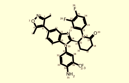 Cc1noc(C)c1-c1ccc2c(c1)nc([C@@H]1CCCC(=O)N1c1ccc(F)c(F)c1)n2-c1ccc(N)c(C(F)(F)F)c1